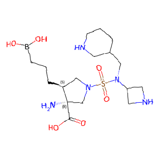 N[C@@]1(C(=O)O)CN(S(=O)(=O)N(CC2CCCNC2)C2CNC2)C[C@@H]1CCCB(O)O